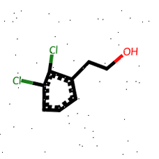 OCCc1[c]ccc(Cl)c1Cl